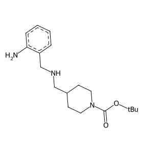 CC(C)(C)OC(=O)N1CCC(CNCc2ccccc2N)CC1